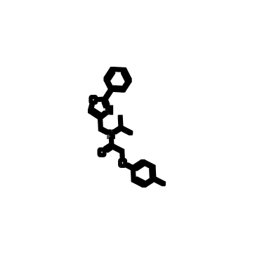 Cc1ccc(OCC(=O)N(Cc2coc(-c3ccccc3)n2)C(C)C)cc1